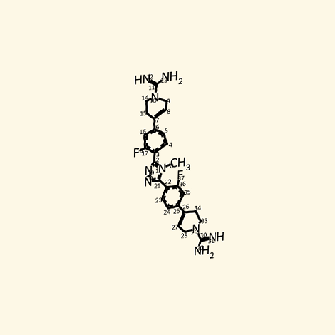 Cn1c(-c2ccc(C3=CCN(C(=N)N)CC3)cc2F)nnc1-c1ccc(C2=CCN(C(=N)N)CC2)cc1F